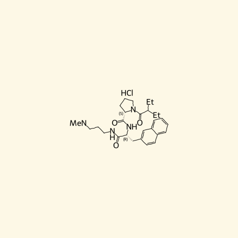 CCC(CC)C(=O)N1CCC[C@H]1C(=O)N[C@H](Cc1ccc2ccccc2c1)C(=O)NCCCNC.Cl